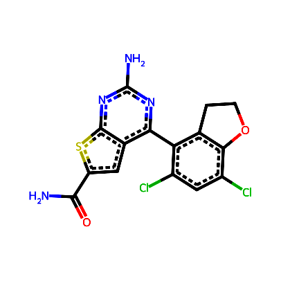 NC(=O)c1cc2c(-c3c(Cl)cc(Cl)c4c3CCO4)nc(N)nc2s1